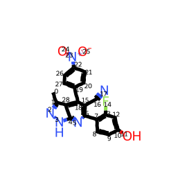 Cc1n[nH]c2nc(-c3ccc(O)cc3F)c(C#N)c(-c3ccc([N+](=O)[O-])cc3)c12